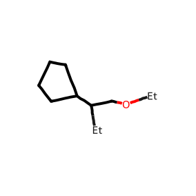 CCOCC(CC)C1CCCC1